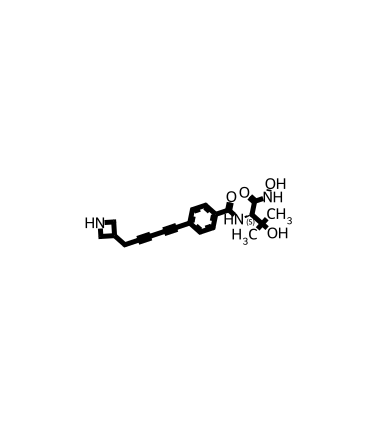 CC(C)(O)[C@H](NC(=O)c1ccc(C#CC#CCC2CNC2)cc1)C(=O)NO